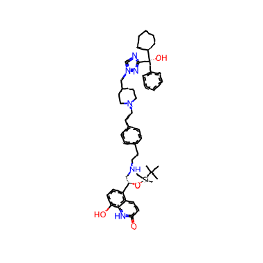 CC(C)(C)[Si](C)(C)O[C@@H](CNCCc1ccc(CCN2CCC(Cn3cnc([C@](O)(c4ccccc4)C4CCCCC4)n3)CC2)cc1)c1ccc(O)c2[nH]c(=O)ccc12